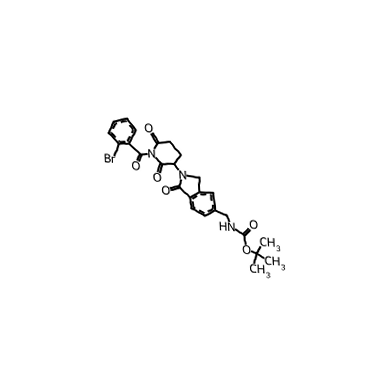 CC(C)(C)OC(=O)NCc1ccc2c(c1)CN(C1CCC(=O)N(C(=O)c3ccccc3Br)C1=O)C2=O